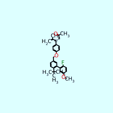 C=C(C)[C@H](CC(C)=O)c1ccc(OCc2ccc(C(C)(C)C)c(-c3cc(OC)ccc3F)c2)cc1